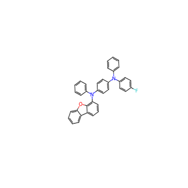 Fc1ccc(N(c2ccccc2)c2ccc(N(c3ccccc3)c3cccc4c3oc3ccccc34)cc2)cc1